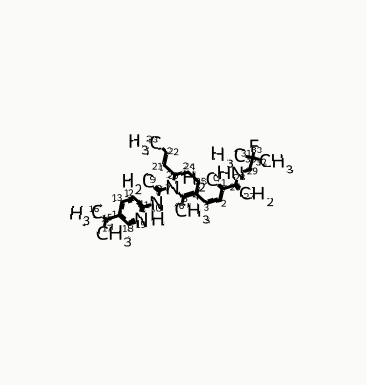 C=C(/C=C\C1=C(C)N(C(=C)Nc2ccc(C(C)C)cn2)C(CCC)CC1)C(=C)NCC(C)(C)F